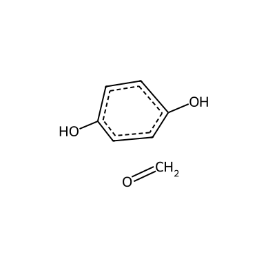 C=O.Oc1ccc(O)cc1